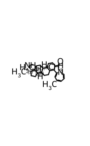 CC1=CC=CNC(C2C(C=O)CC[C@@]3(C)C2CC[C@H]2[C@@H]4CC[C@H](C(C)N)[C@@]4(C)CC[C@@H]23)=C1